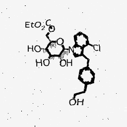 CCOC(=O)OC[C@H]1O[C@@H](n2cc(Cc3ccc(CCO)cc3)c3c(Cl)cccc32)[C@H](O)[C@@H](O)[C@@H]1O